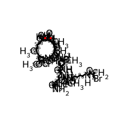 C=C(CBr)C(=O)NCCCCCC(=O)N[C@H](C(=O)N[C@@H](CCCNC(N)=O)C(=O)Nc1ccc(NC(=O)O[C@H]2CC(=O)N(C)c3cc(cc(OC)c3Cl)C/C(C)=C/C=C/[C@@H](OC)[C@@]3(O)C[C@H](OC(=O)N3)[C@@H](C)[C@@H]3O[C@@]23C)c(OC)c1)C(C)C